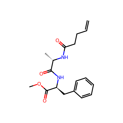 C=CCCC(=O)N[C@@H](C)C(=O)N[C@@H](Cc1ccccc1)C(=O)OC